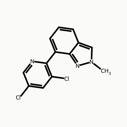 Cn1cc2cccc(-c3ncc(Cl)cc3Cl)c2n1